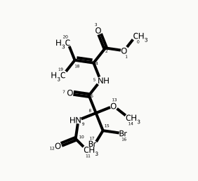 COC(=O)C(NC(=O)C(NC(C)=O)(OC)C(Br)Br)=C(C)C